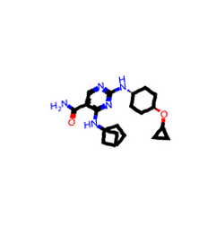 NC(=O)c1cnc(N[C@H]2CC[C@H](OC3CC3)CC2)nc1NC12CCC(C1)C2